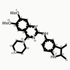 COc1cc2nc(Nc3ccc4c(c3)C(C)C(C)N4)nc(N3CCOCC3)c2cc1OC